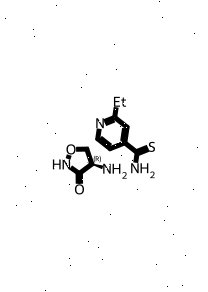 CCc1cc(C(N)=S)ccn1.N[C@@H]1CONC1=O